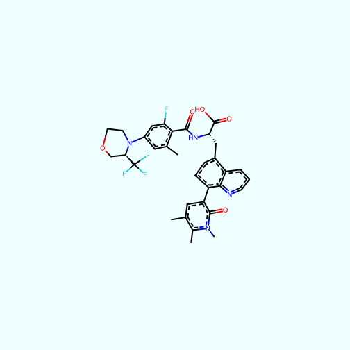 Cc1cc(N2CCOC[C@@H]2C(F)(F)F)cc(F)c1C(=O)N[C@@H](Cc1ccc(-c2cc(C)c(C)n(C)c2=O)c2ncccc12)C(=O)O